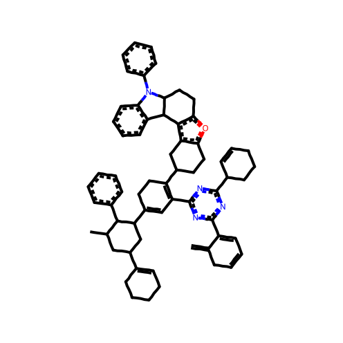 C=C1CC=CC=C1c1nc(C2=C(C3CCc4oc5c(c4C3)C3c4ccccc4N(c4ccccc4)C3CC5)CCC(C3CC(C4=CCCCC4)CC(C)C3c3ccccc3)=C2)nc(C2C=CCCC2)n1